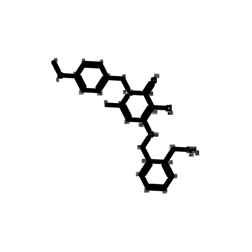 COc1ccc(Cn2c(C)cc(OCc3ccccc3CN)c(Cl)c2=O)cc1